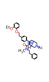 CCOc1ccccc1OCCc1ccc(C2=C(C(=O)N(C)CCc3ccccc3)[C@H]3CN(C(C)=O)CC(C2)N3)cc1